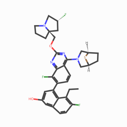 CCc1c(F)ccc2cc(O)cc(-c3ccc4c(N5C[C@H]6CC[C@@H](C5)S6)nc(OC[C@@]56CCCN5C[C@H](F)C6)nc4c3F)c12